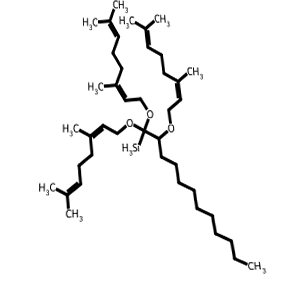 CCCCCCCCCCC(OCC=C(C)CCC=C(C)C)C([SiH3])(OCC=C(C)CCC=C(C)C)OCC=C(C)CCC=C(C)C